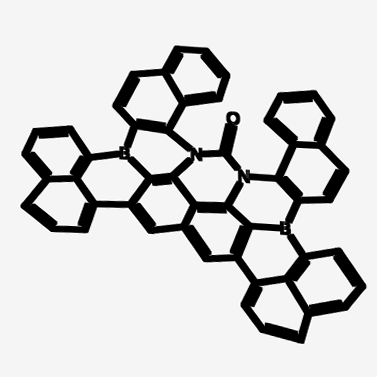 O=C1N2c3c(ccc4ccccc34)B3c4c(cc5cc6c7c(c5c42)N1c1c(ccc2ccccc12)B7c1cccc2cccc-6c12)-c1cccc2cccc3c12